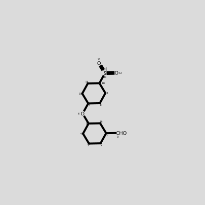 O=CC1CCCC(OC2CCC([SH](=O)=O)CC2)C1